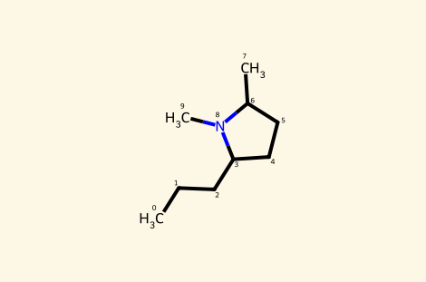 CCCC1CCC(C)N1C